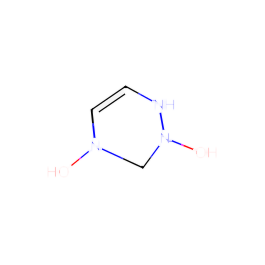 ON1C=CNN(O)C1